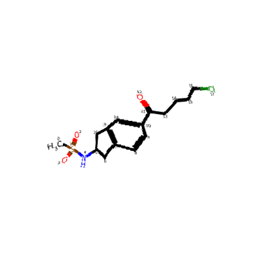 CS(=O)(=O)NC1Cc2ccc(C(=O)CCCCCl)cc2C1